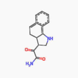 NC(=O)C(=O)C1CNC2=c3ccccc3=CCC21